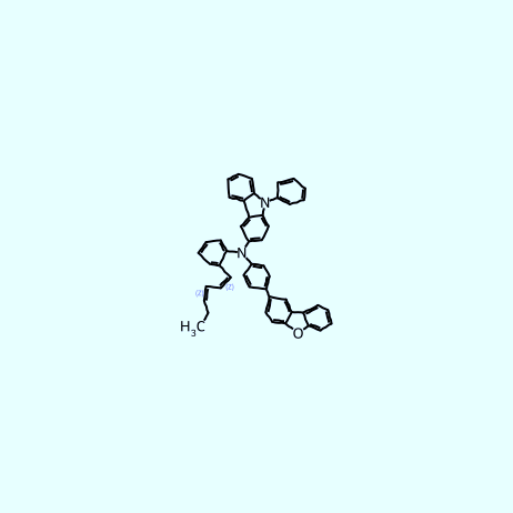 CC/C=C\C=C/c1ccccc1N(c1ccc(-c2ccc3oc4ccccc4c3c2)cc1)c1ccc2c(c1)c1ccccc1n2-c1ccccc1